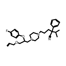 C=CCOCC(CN1CCN(CCCC(C#N)(c2ccccc2)C(C)C)CC1)Oc1ccc(F)cc1